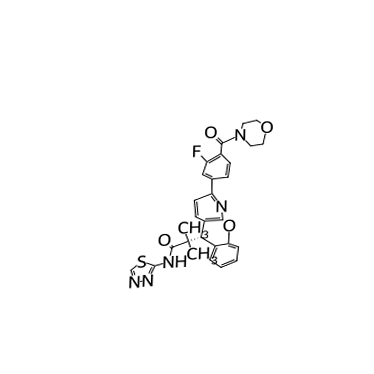 CC(C)(C(=O)Nc1nncs1)[C@H]1c2ccccc2Oc2nc(-c3ccc(C(=O)N4CCOCC4)c(F)c3)ccc21